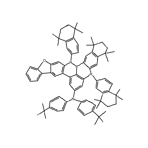 CC(C)(C)c1ccc(N(c2ccc(C(C)(C)C)cc2)c2cc3c4c(c2)N(c2ccc5c(c2)C(C)(C)CCC5(C)C)c2cc5c(cc2B4N(c2ccc4c(c2)C(C)(C)CCC4(C)C)c2cc4oc6ccccc6c4cc2-3)C(C)(C)CCC5(C)C)cc1